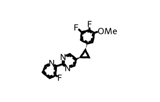 COc1cc([C@@H]2C[C@H]2c2cnc(-c3ncccc3F)nc2)cc(F)c1F